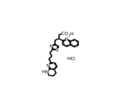 Cl.O=C(O)CC(Cc1csc(CCCc2ccc3c(n2)NCCC3)n1)c1ccc2ccccc2n1